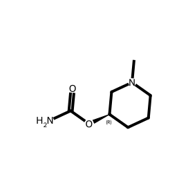 CN1CCC[C@@H](OC(N)=O)C1